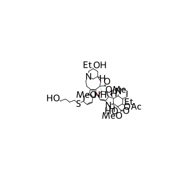 CC[C@]1(O)C[C@H]2CN(CCc3c([nH]c4ccc(SCCCCO)cc34)[C@@](C(=O)OC)(C3C=C4C(=CC3OC)N(C)[C@H]3[C@@](O)(C(=O)OC)[C@H](OC(C)=O)[C@]5(CC)C=CCN6CC[C@]43[C@@H]65)C2)C1